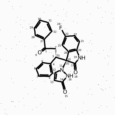 O=C(C[C@@H](c1ccccc1)[C@@]1(n2ccc(=O)[nH]2)C(=O)Nc2ccc(F)cc21)c1ccccc1